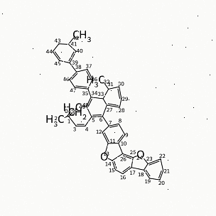 C=C(C)/C=C\C1=C(c2ccc3c(c2)oc2ccc4c5ccccc5oc4c23)C2=CC=CC(C)C2C(c2ccc(C3=CC(C)CC=C3)cc2)=C1C